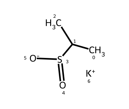 CC(C)S(=O)[O-].[K+]